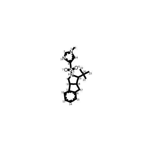 Cn1cnc(S(=O)(=O)N2CC3c4ccccc4CC3C2C(C)(C)C)c1